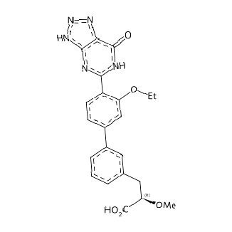 CCOc1cc(-c2cccc(C[C@@H](OC)C(=O)O)c2)ccc1-c1nc2[nH]nnc2c(=O)[nH]1